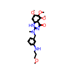 COCCCNc1cccc(CN(C)c2nc(=O)c3c(OC)c(OC)c(OC)cc3[nH]2)c1